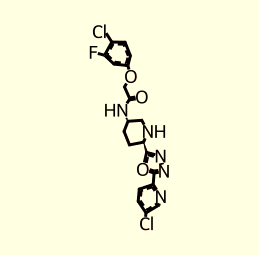 O=C(COc1ccc(Cl)c(F)c1)N[C@H]1CC[C@H](c2nnc(-c3ccc(Cl)cn3)o2)NC1